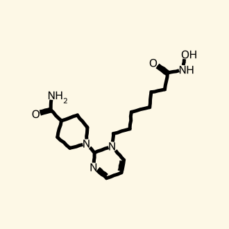 NC(=O)C1CCN(C2N=CC=CN2CCCCCCC(=O)NO)CC1